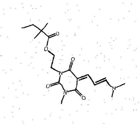 CCC(C)(C)C(=O)OCCN1C(=O)/C(=C/C=C/N(C)C)C(=O)N(C)C1=O